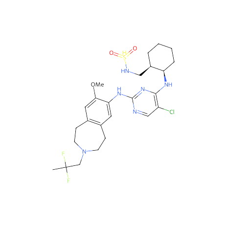 COc1cc2c(cc1Nc1ncc(Cl)c(N[C@@H]3CCCC[C@@H]3CN[SH](=O)=O)n1)CCN(CC(C)(F)F)CC2